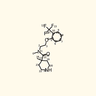 CN(CCOc1ccccc1C(F)(F)F)C(=O)C1(C)CCNCC1